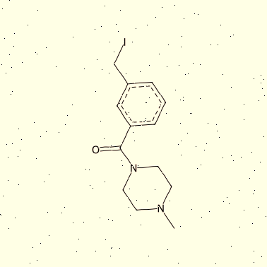 CN1CCN(C(=O)c2cccc(CI)c2)CC1